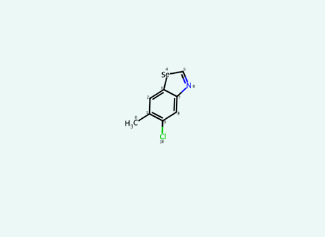 Cc1cc2[se]cnc2cc1Cl